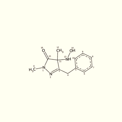 CN1N=C(Cc2ccccc2)C(C)(NO)C1=O